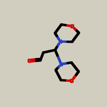 O=CCC(N1CCOCC1)N1CCOCC1